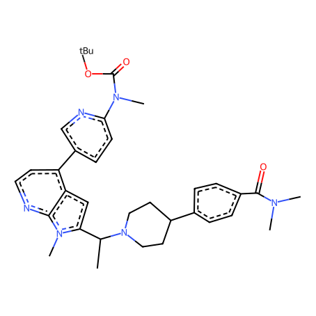 CC(c1cc2c(-c3ccc(N(C)C(=O)OC(C)(C)C)nc3)ccnc2n1C)N1CCC(c2ccc(C(=O)N(C)C)cc2)CC1